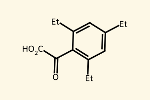 CCc1cc(CC)c(C(=O)C(=O)O)c(CC)c1